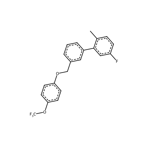 Cc1ccc(F)cc1-c1cccc(COc2ccc(OC(F)(F)F)cc2)c1